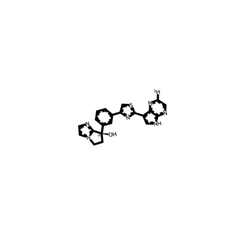 [2H]c1cnc2[nH]cc(-c3nc(-c4cccc([C@]5(O)CCn6ccnc65)c4)cs3)c2n1